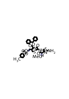 CO/N=C(\C(=O)NC1C(=O)N2C(C(=O)OC(c3ccccc3)c3ccccc3)=C(/C=C/OS(=O)(=O)c3ccc(C)cc3)CSC12)c1csc(N)n1